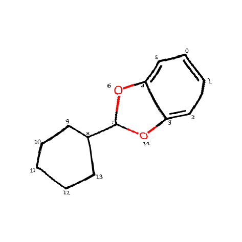 c1ccc2c(c1)OC(C1CCCCC1)O2